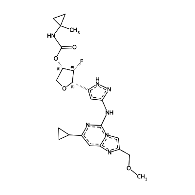 COCc1cn2c(Nc3cc([C@@H]4OC[C@H](OC(=O)NC5(C)CC5)[C@@H]4F)[nH]n3)nc(C3CC3)cc2n1